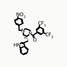 O=C(c1cc(C(F)(F)F)cc(C(F)(F)F)c1)N1CCN(Cc2ccc([N+](=O)[O-])cc2)C[C@H]1Cc1c[nH]c2ccccc12